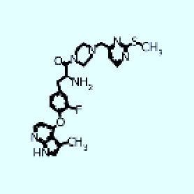 CSc1nccc(CN2CCN(C(=O)[C@@H](N)Cc3ccc(Oc4ccnc5[nH]cc(C)c45)c(F)c3)CC2)n1